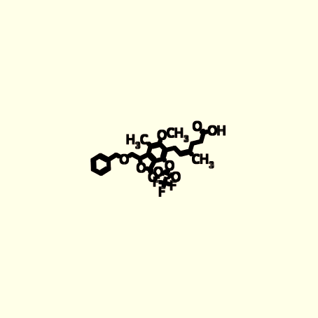 COc1c(C)c2c(c(OS(=O)(=O)C(F)(F)F)c1CC=C(C)CCC(=O)O)C(=O)OC2COCc1ccccc1